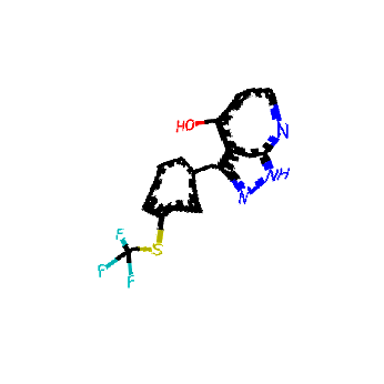 Oc1ccnc2[nH]nc(-c3cccc(SC(F)(F)F)c3)c12